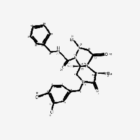 CCCC[C@H]1C(=O)N(Cc2ccc(Cl)c(Cl)c2)C[C@H]2N1C(=O)CN(CC)N2C(=O)NCc1ccccc1